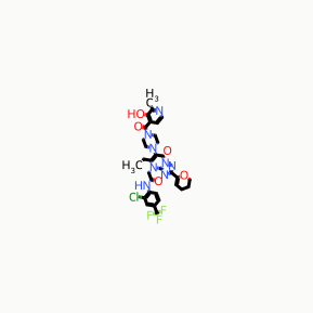 CCc1c(N2CCN(C(=O)c3ccnc(C)c3O)CC2)c(=O)n2nc(C3=CCCCO3)nc2n1CC(=O)Nc1ccc(C(F)(F)F)cc1Cl